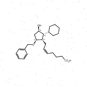 O=C(O)CCC/C=C\C[C@@H]1[C@@H](N2CCCCC2)[C@H](O)C[C@@H]1OCc1ccccc1